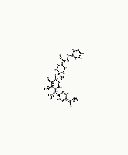 CN/C(=C1/N=CN(CC2(O)CCN(C(=O)CCc3ccccc3)CC2)C(=O)C1=N)c1ccc(C(C)N)cc1